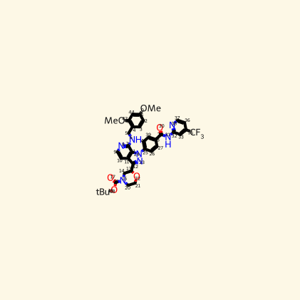 COc1ccc(CNc2nccc3c(C4CN(C(=O)OC(C)(C)C)CCO4)nn(-c4ccc(C(=O)Nc5cc(C(F)(F)F)ccn5)cc4)c23)c(OC)c1